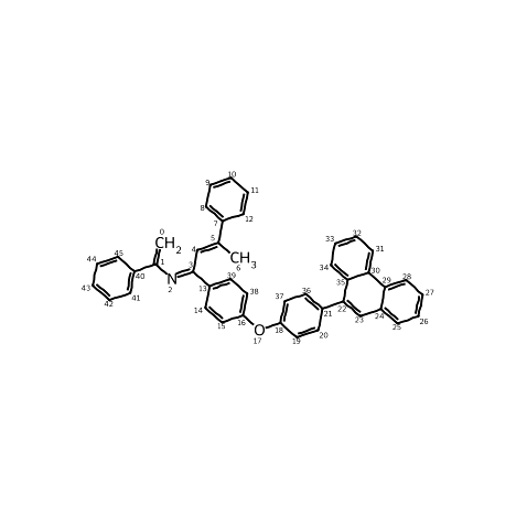 C=C(/N=C(\C=C(/C)c1ccccc1)c1ccc(Oc2ccc(-c3cc4ccccc4c4ccccc34)cc2)cc1)c1ccccc1